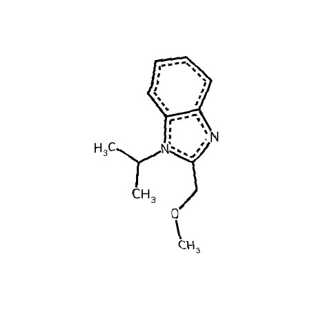 COCc1nc2ccccc2n1C(C)C